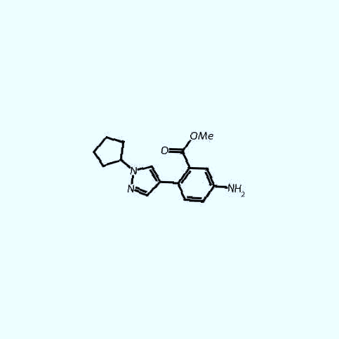 COC(=O)c1cc(N)ccc1-c1cnn(C2CCCC2)c1